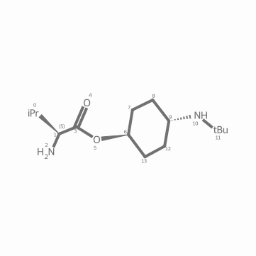 CC(C)[C@H](N)C(=O)O[C@H]1CC[C@H](NC(C)(C)C)CC1